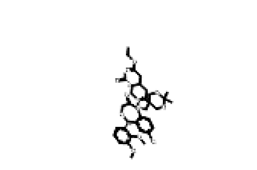 CCOC(=O)CC1CCN([N+]2(CC3(C)COC(C)(C)OC3)C(=O)CO[C@H](c3cccc(OC)c3OC)c3cc(Cl)ccc32)C[C@@H]1C(C)=O